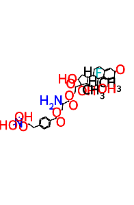 C[C@]12C=CC(=O)C=C1CC[C@H]1[C@@H]3C[C@@H](O)[C@](O)(C(=O)COC(=O)C(N)COC(=O)c4ccc(CCON(O)O)cc4)[C@@]3(C)C[C@H](O)[C@@]12F